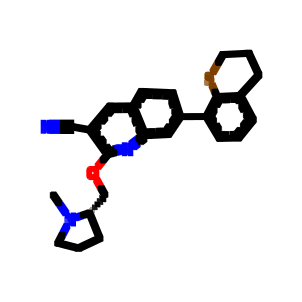 CN1CCC[C@H]1COc1nc2cc(-c3cccc4c3SCCC4)ccc2cc1C#N